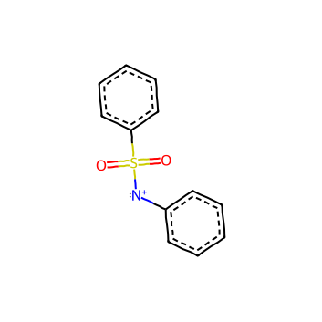 O=S(=O)([N+]c1ccccc1)c1ccccc1